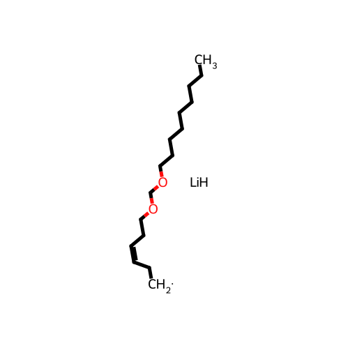 [CH2]C/C=C\CCOCOCCCCCCCCC.[LiH]